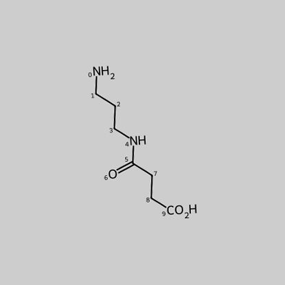 NCCCNC(=O)CCC(=O)O